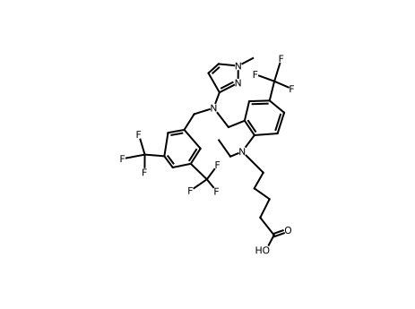 CCN(CCCCC(=O)O)c1ccc(C(F)(F)F)cc1CN(Cc1cc(C(F)(F)F)cc(C(F)(F)F)c1)c1ccn(C)n1